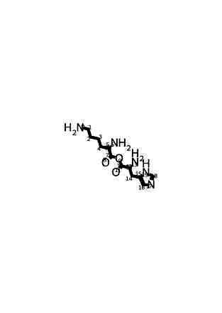 NCCCC[C@@H](N)C(=O)OC(=O)[C@@H](N)Cc1cnc[nH]1